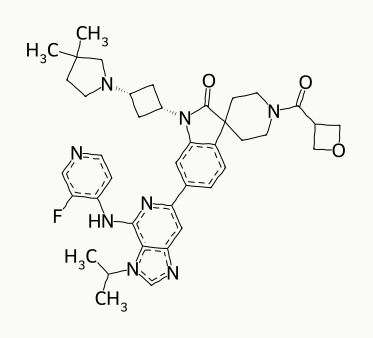 CC(C)n1cnc2cc(-c3ccc4c(c3)N([C@H]3C[C@@H](N5CCC(C)(C)C5)C3)C(=O)C43CCN(C(=O)C4COC4)CC3)nc(Nc3ccncc3F)c21